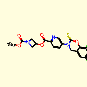 CC(C)(C)OC(=O)N1CC(OC(=O)c2ccc(N3Cc4cc(Cl)cc(Cl)c4OC3=S)cn2)C1